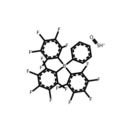 Fc1c(F)c(F)c([B-](c2ccccc2)(c2c(F)c(F)c(F)c(F)c2F)c2c(F)c(F)c(F)c(F)c2F)c(F)c1F.O=[SH+]